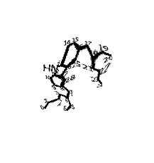 CCCCC(CC)Cc1ccc2[nH]c3ccc(CC(CC)CCCC)cc3c2c1